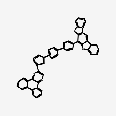 c1cc(-c2ccc(-c3ccc(-c4c5oc6ccccc6c5cc5c4oc4ccccc45)cc3)cc2)cc(-c2cnc3c4ccccc4c4ccccc4c3n2)c1